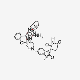 Cn1c(=O)n(C2CCC(=O)NC2=O)c2ccc(CN3CCN(Cc4cnc(N5C6CCC5CN(c5cc(-c7ccccc7O)nnc5N)C6)nc4)CC3)cc21